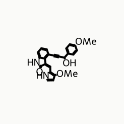 COc1ccc(C(O)C#Cc2cccc3c2/C(=C/c2[nH]ccc2OC)C(=O)N3)cc1